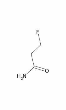 NC(=O)CCF